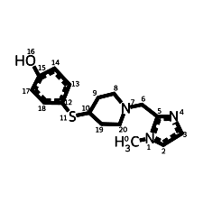 Cn1ccnc1CN1CCC(Sc2ccc(O)cc2)CC1